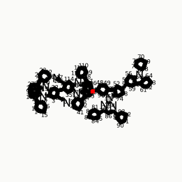 N#Cc1cc(-n2c3ccccc3c3ccccc32)c(-n2c3ccccc3c3ccccc32)cc1-c1cc(-n2c3ccccc3c3cc(-c4ccc5c6cc(-c7ccc8c(c7)c7ccccc7n8-c7ccccc7)ccc6n(-c6nc(-c7ccccc7)cc(-c7ccccc7)n6)c5c4)ccc32)c(-n2c3ccccc3c3ccccc32)cc1C#N